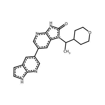 CC(C1CCOCC1)n1c(=O)[nH]c2ncc(-c3cnc4[nH]ccc4c3)cc21